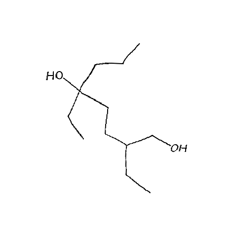 CCCC(O)(CC)CCC(CC)CO